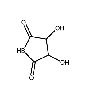 O=C1BC(=O)C(O)C1O